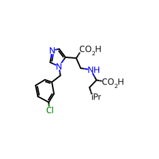 CC(C)CC(NCC(C(=O)O)c1cncn1Cc1cccc(Cl)c1)C(=O)O